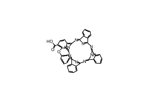 O=C(O)c1ccc2c3nc4nc(nc5[nH]c(nc6nc(nc([nH]3)c2c1Oc1ccccc1)-c1ccccc1-6)c1ccccc51)-c1ccccc1-4